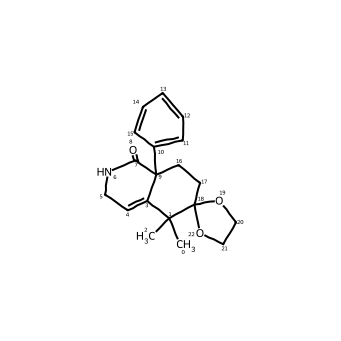 CC1(C)C2=CCNC(=O)C2(c2ccccc2)CCC12OCCO2